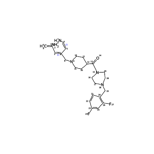 C=C(N)/C=C(\C=C/N)CN1CCC(C(=O)N2CCN(Cc3ccc(F)cc3F)CC2)CC1